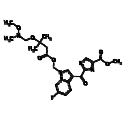 COC(=O)c1csc(C(=O)c2cn(COC(=O)CC(C)(C)OCN(C)OC)c3cc(F)ccc23)n1